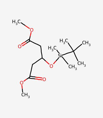 COC(=O)CC(CC(=O)OC)O[Si](C)(C)C(C)(C)C